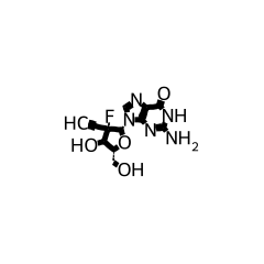 C#C[C@]1(F)C(O)[C@@H](CO)O[C@H]1n1cnc2c(=O)[nH]c(N)nc21